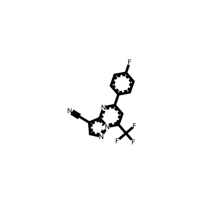 N#Cc1cnn2c(C(F)(F)F)cc(-c3ccc(F)cc3)nc12